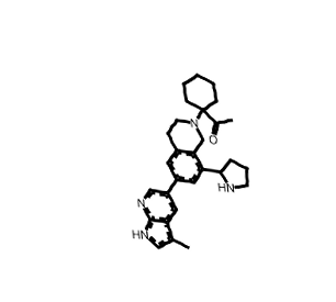 CC(=O)C1(N2CCc3cc(-c4cnc5[nH]cc(C)c5c4)cc(C4CCCN4)c3C2)CCCCC1